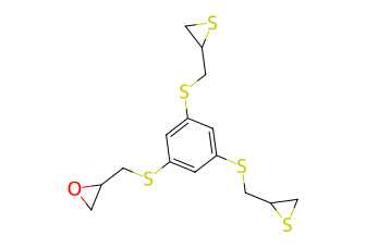 c1c(SCC2CO2)cc(SCC2CS2)cc1SCC1CS1